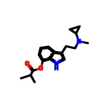 CC(C)C(=O)Oc1cccc2c(CCN(C)C3CC3)c[nH]c12